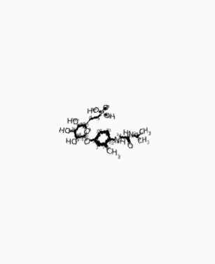 Cc1cc(O[C@H]2O[C@H](CCP(=O)(O)O)[C@@H](O)[C@H](O)[C@@H]2O)ccc1NCC(=O)NC(C)C